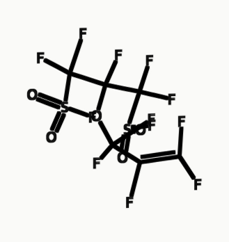 O=S(=O)(F)C(F)(F)C(F)(OC(F)(F)C(F)=C(F)F)C(F)(F)S(=O)(=O)F